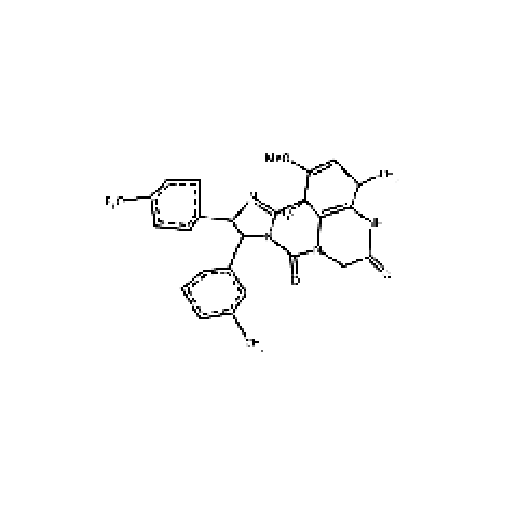 COC1=CC(C)C2=C3N(CC(=O)N2)C(=O)N2C(=NC(c4ccc(C(F)(F)F)cc4)C2c2cccc(C)c2)C13C